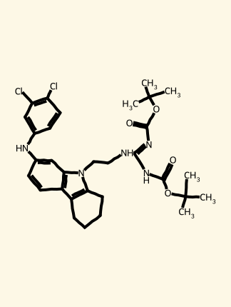 CC(C)(C)OC(=O)/N=C(\NCCn1c2c(c3ccc(Nc4ccc(Cl)c(Cl)c4)cc31)CCCC2)NC(=O)OC(C)(C)C